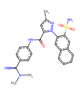 Cc1cc(C(=O)Nc2ccc(C(=N)N(C)C)cc2)n(-c2cc3ccccc3cc2S(N)(=O)=O)n1